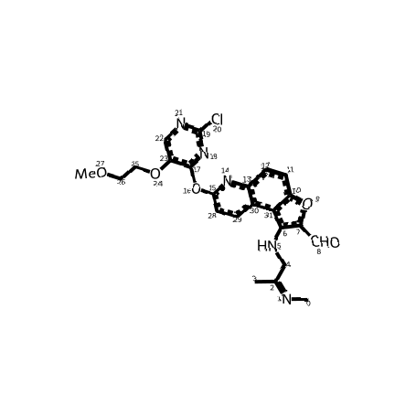 C/N=C(/C)CNc1c(C=O)oc2ccc3nc(Oc4nc(Cl)ncc4OCCOC)ccc3c12